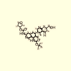 Cc1c(-c2cc3cc(NC(=O)O[C@@H]4CCOC4)ncc3c(NC(=O)OC(C)(C)C)c2F)cnc2c1NCC(CO)C2